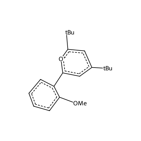 COc1ccccc1-c1cc(C(C)(C)C)cc(C(C)(C)C)[o+]1